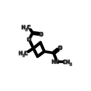 CNC(=O)C1CC(C)(OC(C)=O)C1